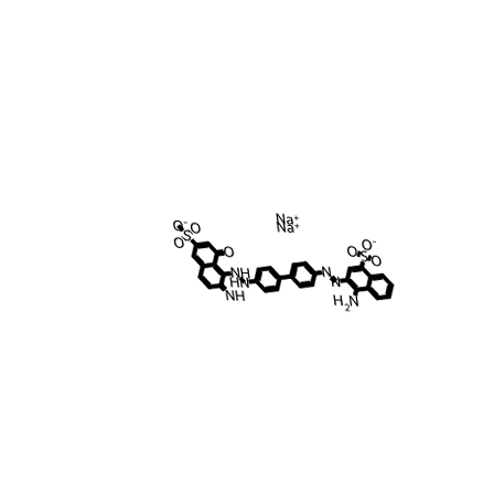 N=C1C=CC2=CC(S(=O)(=O)[O-])=CC(=O)C2=C1NNc1ccc(-c2ccc(N=Nc3cc(S(=O)(=O)[O-])c4ccccc4c3N)cc2)cc1.[Na+].[Na+]